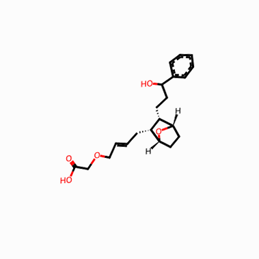 O=C(O)COC/C=C/C[C@@H]1[C@H](CCC(O)c2ccccc2)[C@@H]2CC[C@H]1O2